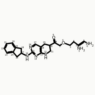 N/C=C(\N)CCOCC(=O)C1CBc2nc(NC3Cc4ccccc4C3)ncc2C1